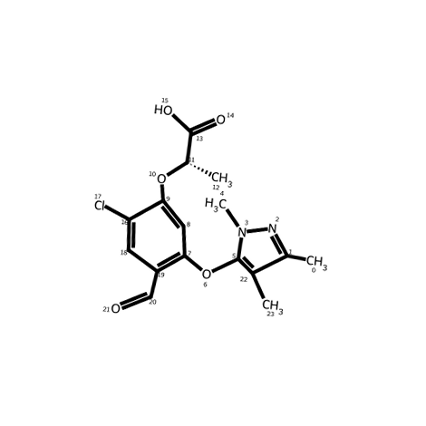 Cc1nn(C)c(Oc2cc(O[C@@H](C)C(=O)O)c(Cl)cc2C=O)c1C